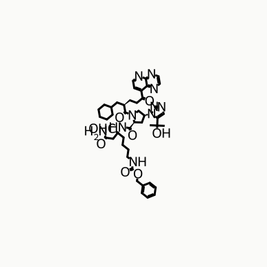 CC(C)(O)c1cnnn1[C@H]1C[C@@H](C(=O)NC(C=O)(CCCCNC(=O)OCc2ccccc2)CC(N)=O)N(C(=O)[C@H](CCC(=O)c2ccnc3nccnc23)CC2CCCCC2)C1